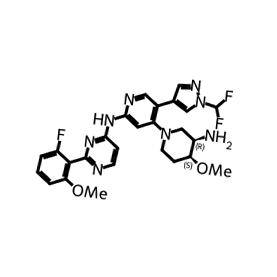 COc1cccc(F)c1-c1nccc(Nc2cc(N3CC[C@H](OC)[C@H](N)C3)c(-c3cnn(C(F)F)c3)cn2)n1